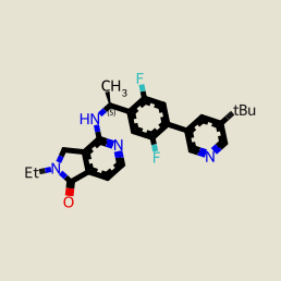 CCN1Cc2c(ccnc2N[C@@H](C)c2cc(F)c(-c3cncc(C(C)(C)C)c3)cc2F)C1=O